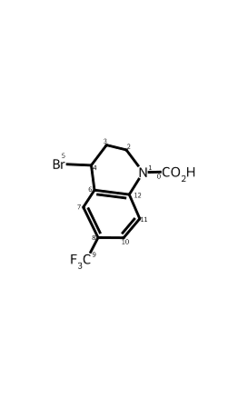 O=C(O)N1CCC(Br)c2cc(C(F)(F)F)ccc21